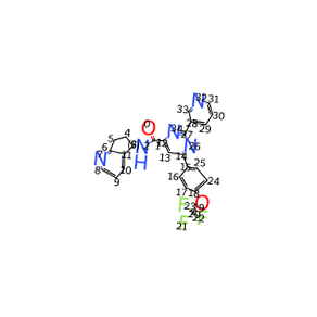 O=C(N[C@H]1CCc2ncccc21)c1cc(-c2ccc(OC(F)(F)F)cc2)nc(-c2cccnc2)n1